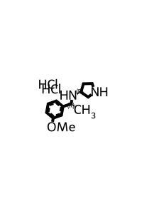 COc1cccc([C@@H](C)N[C@@H]2CCNC2)c1.Cl.Cl